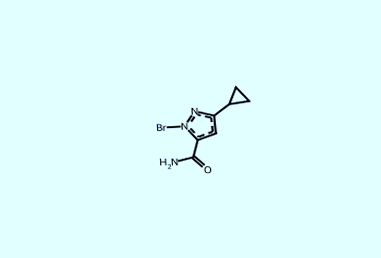 NC(=O)c1cc(C2CC2)nn1Br